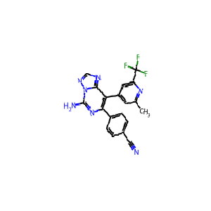 Cc1cc(-c2c(-c3ccc(C#N)cc3)nc(N)n3ncnc23)cc(C(F)(F)F)n1